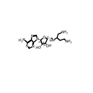 NCCC(CN)NC[C@H]1O[C@@H](n2cnc3c(N)ncnc32)[C@H](O)[C@@H]1O